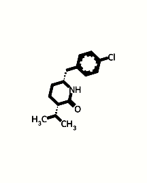 CC(C)[C@@H]1CC[C@H](Cc2ccc(Cl)cc2)NC1=O